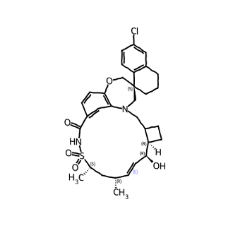 C[C@H]1/C=C/[C@H](O)[C@@H]2CCC2CN2C[C@@]3(CCCc4cc(Cl)ccc43)COc3ccc(cc32)C(=O)NS(=O)(=O)[C@@H](C)C1